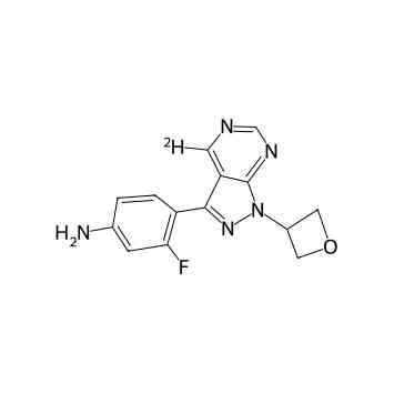 [2H]c1ncnc2c1c(-c1ccc(N)cc1F)nn2C1COC1